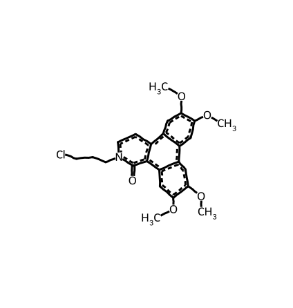 COc1cc2c(cc1OC)c1ccn(CCCCl)c(=O)c1c1cc(OC)c(OC)cc21